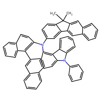 CC1(C)c2ccc(N(c3ccc4ccccc4c3-c3ccc4ccccc4c3)c3cccc4c3c3ccccc3n4-c3ccccc3)cc2-c2cc3ccccc3cc21